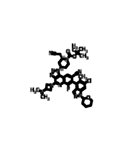 Cc1c(Cl)cc2c(cnn2C2CCCCO2)c1-c1c(C#N)cc2c(nc(N3CC(N(C)C)C3)c3nnn([C@H]4CCN(C(=O)OC(C)(C)C)[C@H](CC#N)C4)c32)c1F